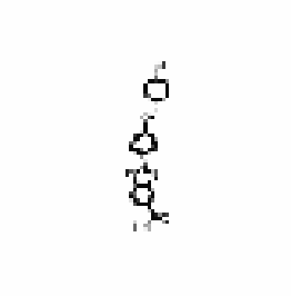 NC(=O)c1ccc2[nH]c(-c3ccc(OC[C@H]4CC[C@@H](O)CC4)cc3)nc2c1